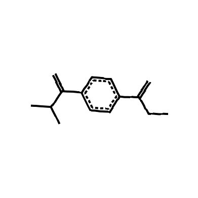 C=C(CC)c1ccc(C(=C)C(C)C)cc1